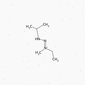 CC/[N+](C)=N/NC(C)C